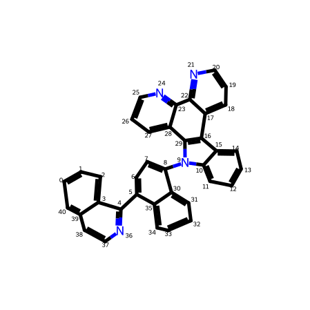 c1ccc2c(-c3ccc(-n4c5ccccc5c5c6cccnc6c6ncccc6c54)c4ccccc34)nccc2c1